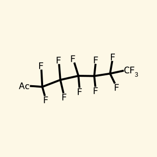 CC(=O)C(F)(F)C(F)(F)C(F)(F)C(F)(F)C(F)(F)C(F)(F)F